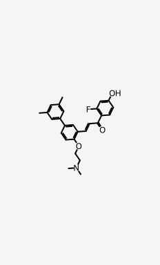 Cc1cc(C)cc(-c2ccc(OCCN(C)C)c(C=CC(=O)c3ccc(O)cc3F)c2)c1